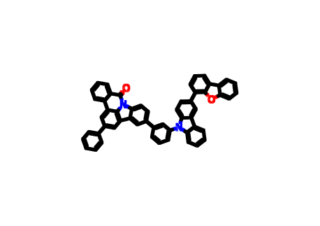 O=c1c2ccccc2c2cc(-c3ccccc3)cc3c4cc(-c5cccc(-n6c7ccccc7c7cc(-c8cccc9c8oc8ccccc89)ccc76)c5)ccc4n1c23